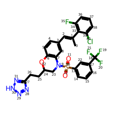 CC(=Cc1ccc2c(c1)N(S(=O)(=O)c1cccc(C(F)(F)F)c1)CC(CCc1nn[nH]n1)O2)c1c(F)cccc1Cl